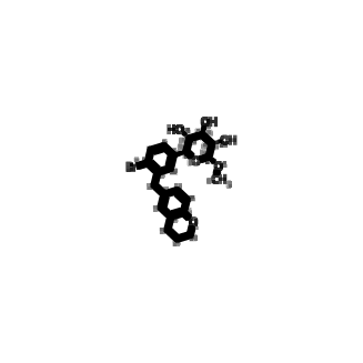 CO[C@H]1O[C@@H](c2ccc(Br)c(Cc3ccc4c(c3)CCCO4)c2)[C@H](O)[C@@H](O)[C@@H]1O